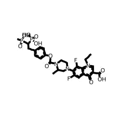 CCn1cc(C(=O)O)c(=O)c2cc(F)c(N3CCN(C(=O)Oc4ccc(CC(P(C)(=O)O)P(=O)(O)O)cc4)C(C)C3)c(F)c21